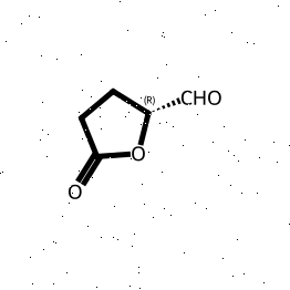 O=C[C@H]1CCC(=O)O1